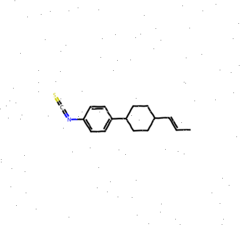 CC=CC1CCC(c2ccc(N=C=S)cc2)CC1